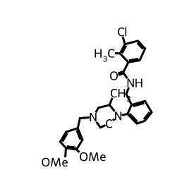 COc1ccc(CN2CCN(c3ccccc3CNC(=O)c3cccc(Cl)c3C)C(C)C2)cc1OC